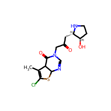 CC1=C(Cl)SC2N=CN(CC(=O)C[C@@H]3NCC[C@H]3O)C(=O)C12